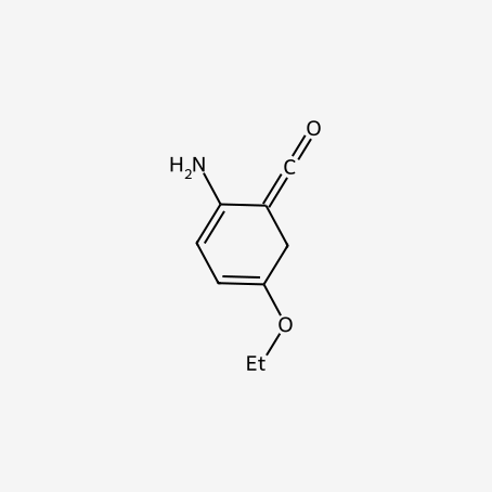 CCOC1=CC=C(N)C(=C=O)C1